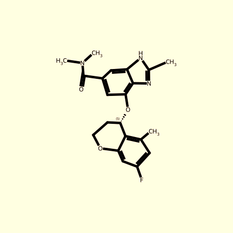 Cc1nc2c(O[C@H]3CCOc4cc(F)cc(C)c43)cc(C(=O)N(C)C)cc2[nH]1